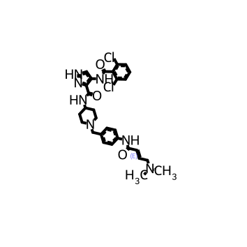 CN(C)C/C=C/C(=O)Nc1ccc(CN2CCC(NC(=O)c3n[nH]cc3NC(=O)c3c(Cl)cccc3Cl)CC2)cc1